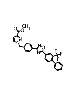 COC(=O)c1ccn(CC2C=CC(c3noc(-c4ccc(-c5ccccc5)c(C(F)(F)F)c4)n3)=CC2)n1